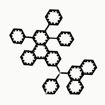 c1ccc(-c2cc(-c3ccccc3)c3c4ccccc4c4cc(N(c5ccncc5)c5cc6ccccc6c6ccccc56)ccc4c3c2-c2ccccc2)cc1